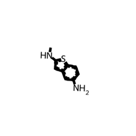 CNc1cc2cc(N)ccc2s1